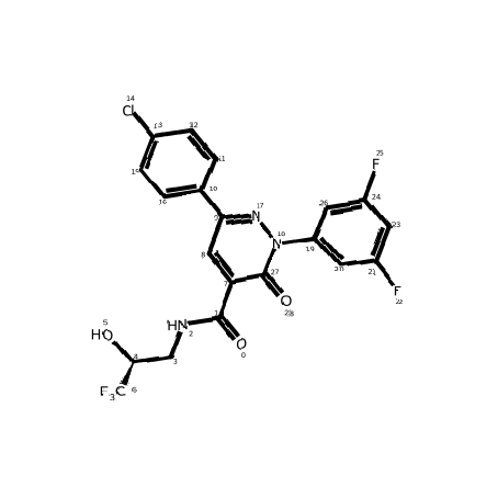 O=C(NC[C@H](O)C(F)(F)F)c1cc(-c2ccc(Cl)cc2)nn(-c2cc(F)cc(F)c2)c1=O